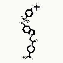 O=C(O)C1CCN(C(=O)Cn2ccc3cc(NS(=O)(=O)c4ccc(OC(F)(F)F)cc4)ccc32)CC1